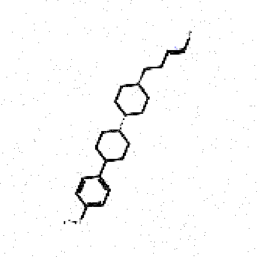 CCCCCc1ccc(C2CCC([C@H]3CC[C@H](CC/C=C/F)CC3)CC2)cc1